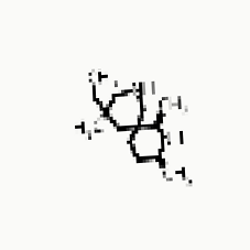 C=C1CCC2(CNCC(C)(CC)C2)C(=C)N1